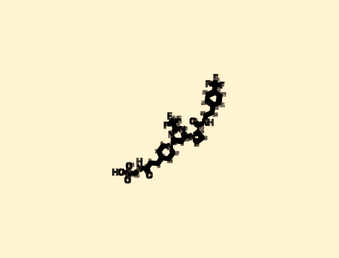 O=C(CCC1CCN(c2cc(N3CC[C@H]3C(=O)NCCc3ccc(C(F)(F)F)cc3)nc(C(F)(F)F)n2)CC1)NCS(=O)(=O)O